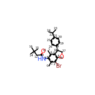 Cc1c(Br)c2c(c(C)c1NC(=O)CC(C)(C)C)[C@@H](c1ccc(C(C)C)cc1)CO2